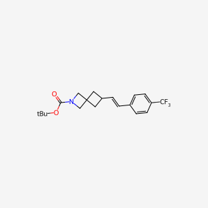 CC(C)(C)OC(=O)N1CC2(CC(C=Cc3ccc(C(F)(F)F)cc3)C2)C1